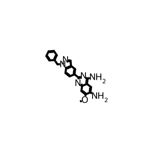 COc1cc2nc(-c3ccc4c(cnn4Cc4ccccc4)c3)nc(N)c2cc1N